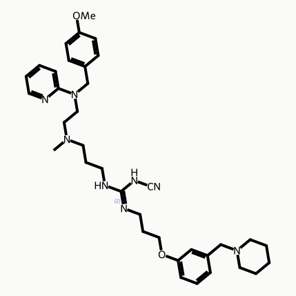 COc1ccc(CN(CCN(C)CCCN/C(=N/CCCOc2cccc(CN3CCCCC3)c2)NC#N)c2ccccn2)cc1